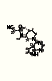 C[C@@H]1CCN(c2ncnc3[nH]ccc23)C[C@@H]1N(C)C(=O)CC#N